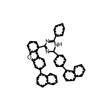 c1ccc(C2=NC(c3cccc4oc5cc(-c6cccc7ccccc67)ccc5c34)=NC(c3ccc(-c4cccc5ccccc45)cc3)N2)cc1